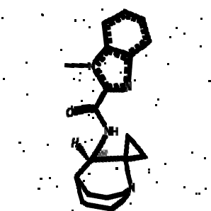 Cn1c(C(=O)N[C@H]2C3CCN(CC3)C23CC3)nc2ccccc21